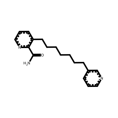 NC(=O)c1ncccc1CCC[CH]CCCc1cccnc1